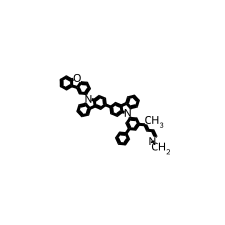 C=N/C=C\C=C(/C)c1cc(-c2ccccc2)cc(-n2c3ccccc3c3cc(-c4ccc5c(c4)c4ccccc4n5-c4ccc5oc6ccccc6c5c4)ccc32)c1